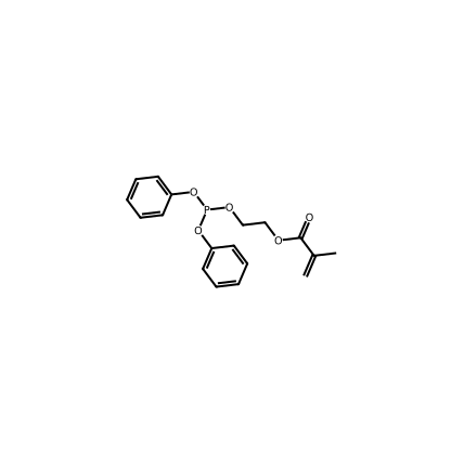 C=C(C)C(=O)OCCOP(Oc1ccccc1)Oc1ccccc1